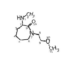 CNC1CCCCN(CCOC)C1=O